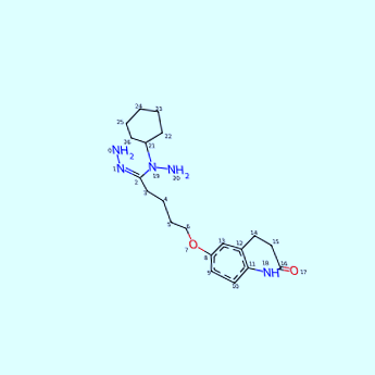 N/N=C(/CCCCOc1ccc2c(c1)CCC(=O)N2)N(N)C1CCCCC1